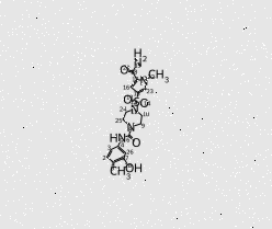 Cc1ccc(NC(=O)N2CCN(S(=O)(=O)c3cc(C(N)=O)n(C)c3)CC2)cc1O